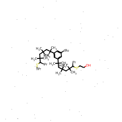 CCCSC(C(C)C)C(C)(C)CC(C)(C)CC(C)(C)c1cc(C(C)(C)C)cc(C(C)(C)CC(C)(C)CC(C)(C)C(SCCO)C(C)C)c1